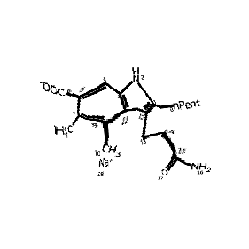 CCCCCc1[nH]c2cc(C(=O)[O-])c(C)c(C)c2c1CCC(N)=O.[Na+]